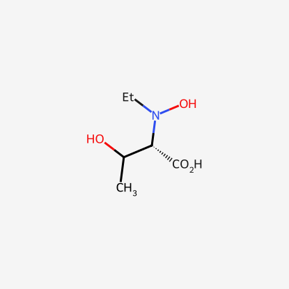 CCN(O)[C@H](C(=O)O)C(C)O